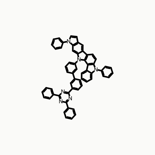 c1ccc(-c2nc(-c3ccccc3)nc(-c3cccc(-c4cccc(-n5c6cc7c(ccn7-c7ccccc7)cc6c6ccc7c(c8ccccc8n7-c7ccccc7)c65)c4)c3)n2)cc1